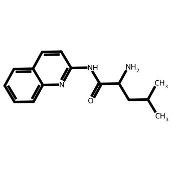 CC(C)CC(N)C(=O)Nc1ccc2ccccc2n1